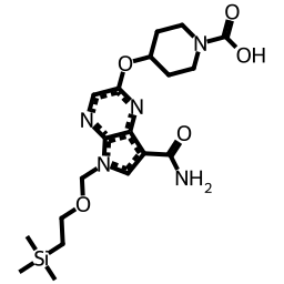 C[Si](C)(C)CCOCn1cc(C(N)=O)c2nc(OC3CCN(C(=O)O)CC3)cnc21